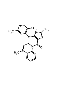 Cc1ccc(C)c(Oc2nc(C)sc2C(=O)N2CCN(C)c3ccccc32)c1